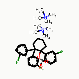 C[N+](C)(C)C.C[N+](C)(C)C.[O-]B([O-])OC1(c2cccc(F)c2)CCCCC1(c1cccc(F)c1)c1cccc(F)c1